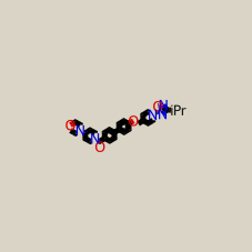 CC(C)c1noc(N2CCC(COc3ccc(C4=CCC(C(=O)N5CCC(N6CCOCC6)CC5)CC4)cc3)CC2)n1